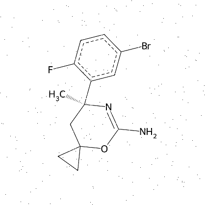 C[C@@]1(c2cc(Br)ccc2F)CC2(CC2)OC(N)=N1